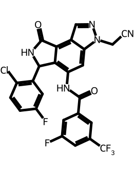 N#CCn1ncc2c3c(c(NC(=O)c4cc(F)cc(C(F)(F)F)c4)cc21)C(c1cc(F)ccc1Cl)NC3=O